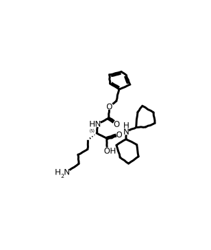 C1CCC(NC2CCCCC2)CC1.NCCCC[C@H](NC(=O)OCc1ccccc1)C(=O)O